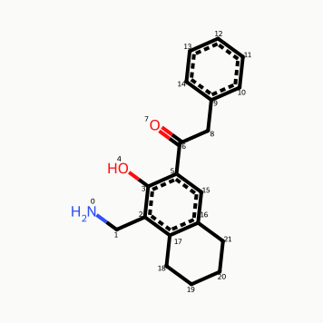 NCc1c(O)c(C(=O)Cc2ccccc2)cc2c1CCCC2